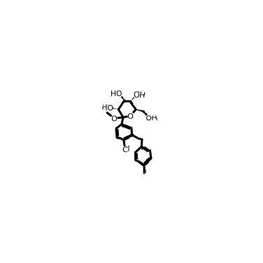 COC1(c2ccc(Cl)c(Cc3ccc(C)cc3)c2)O[C@H](CO)[C@@H](O)[C@H](O)[C@H]1O